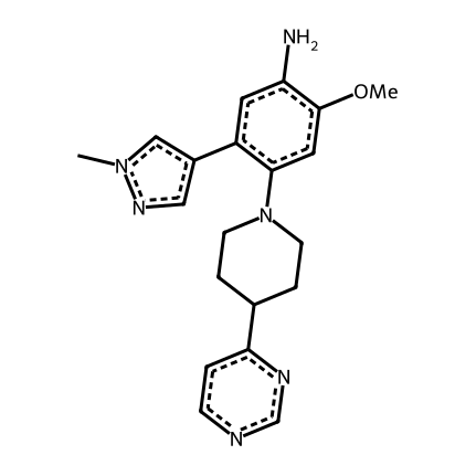 COc1cc(N2CCC(c3ccncn3)CC2)c(-c2cnn(C)c2)cc1N